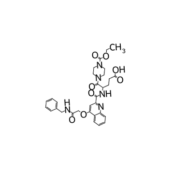 CCOC(=O)N1CCN(C(=O)C(CCC(=O)O)NC(=O)c2cc(OCC(=O)NCc3ccccc3)c3ccccc3n2)CC1